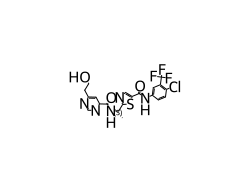 C[C@H](NC(=O)c1cc(CCO)ncn1)c1ncc(C(=O)Nc2ccc(Cl)c(C(F)(F)F)c2)s1